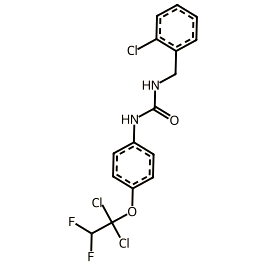 O=C(NCc1ccccc1Cl)Nc1ccc(OC(Cl)(Cl)C(F)F)cc1